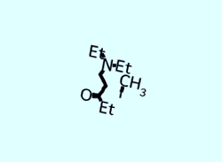 CCC(=O)CCN(CC)CC.CI